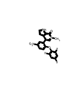 Cn1cc(-c2cc([N+](=O)[O-])ccc2Oc2c(F)cc(F)cc2F)c2cc[nH]c2c1=O